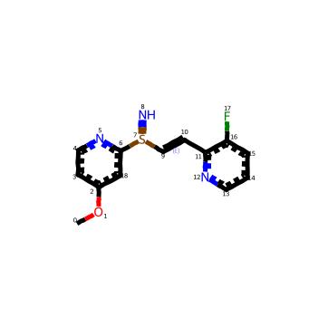 COc1ccnc(S(=N)/C=C/c2ncccc2F)c1